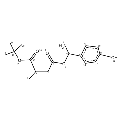 CC(CC(=O)OC(N)c1ccc(O)cc1)C(=O)OC(C)(C)C